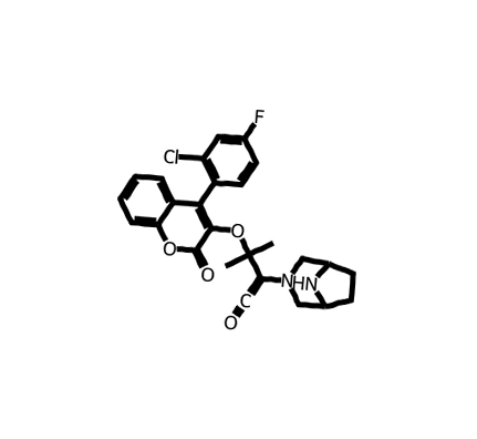 CC(C)(Oc1c(-c2ccc(F)cc2Cl)c2ccccc2oc1=O)C(=C=O)N1CC2CCC(C1)N2